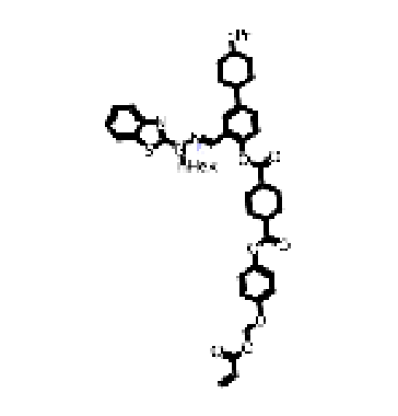 C=CC(=O)OCOc1ccc(OC(=O)C2CCC(C(=O)Oc3ccc(C4CCC(CCC)CC4)cc3/C=N/N(CCCCCC)c3nc4ccccc4s3)CC2)cc1